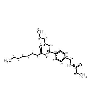 CCCCCCCC(=O)OC(CCCCC)c1ccc(CNC(=O)CC)cc1